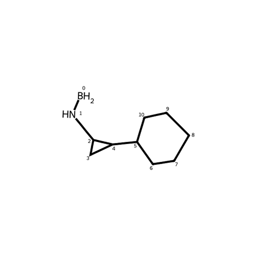 BNC1CC1C1CCCCC1